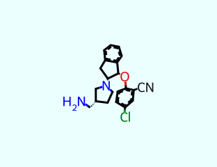 N#Cc1cc(Cl)ccc1O[C@@H]1c2ccccc2C[C@H]1N1CC[C@H](CN)C1